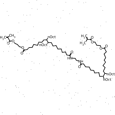 C=C(C)C(=O)OCCCOC(=O)CCCCCCCCC(CCCCCCCC)C(CCCCCCCC)CCCCCCCCC(=O)NCCNC(=O)CCCCCCCCC(CCCCCCCC)C(CCCCCCCC)CCCCCCCCC(=O)OCCCOC(=O)C(=C)C